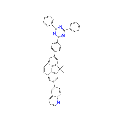 CC1(C)c2cc(-c3ccc(-c4nc(-c5ccccc5)nc(-c5ccccc5)n4)cc3)cc3ccc4cc(-c5ccc6ncccc6c5)cc1c4c23